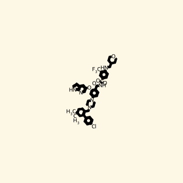 CC1(C)CCC(CN2CCN(c3ccc(C(=O)NS(=O)(=O)c4ccc(NCC5CCOCC5)c(C(F)(F)F)c4)c(Oc4cnc5[nH]ccc5c4)c3)CC2)=C(c2ccc(Cl)cc2)C1